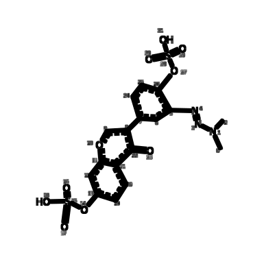 CN(C)N=Nc1cc(-c2coc3cc(OS(=O)(=O)O)ccc3c2=O)ccc1OS(=O)(=O)O